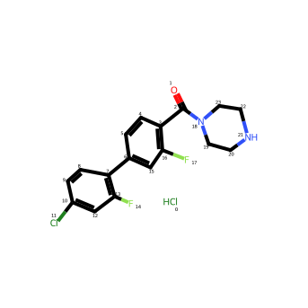 Cl.O=C(c1ccc(-c2ccc(Cl)cc2F)cc1F)N1CCNCC1